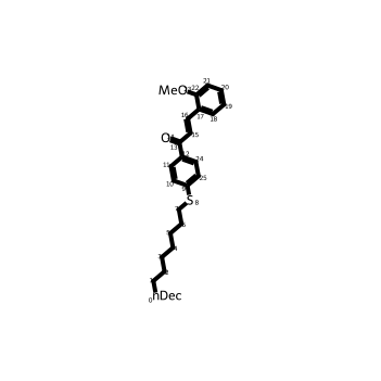 CCCCCCCCCCCCCCCCCSc1ccc(C(=O)C=Cc2ccccc2OC)cc1